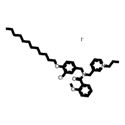 CCCCCCCCCCCCOc1ccc(CN(Cc2ccc[n+](CCC)c2)C(=O)c2ccccc2OC)cc1Cl.[I-]